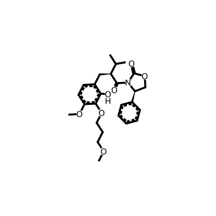 COCCCOc1c(OC)ccc(C[C@H](C(=O)N2C(=O)OC[C@H]2c2ccccc2)C(C)C)c1O